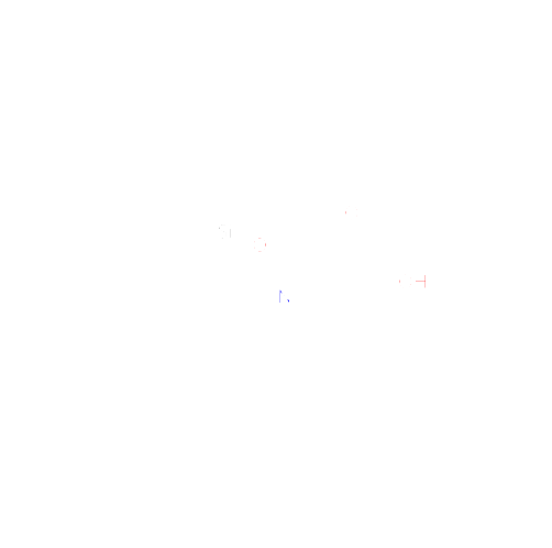 CC(C)N(CC(=O)O)O[Si](C)(C)C(C)(C)C